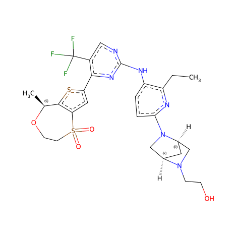 CCc1nc(N2C[C@H]3C[C@@H]2CN3CCO)ccc1Nc1ncc(C(F)(F)F)c(-c2cc3c(s2)[C@H](C)OCCS3(=O)=O)n1